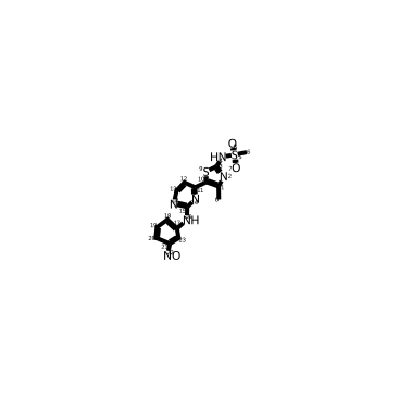 Cc1nc(NS(C)(=O)=O)sc1-c1ccnc(Nc2cccc(N=O)c2)n1